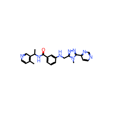 Cc1ccncc1C(C)NC(=O)c1cccc(NCc2nnc(-c3ccncn3)n2C)c1